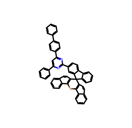 c1ccc(-c2ccc(-c3cc(-c4ccccc4)nc(-c4ccc5c(c4)C4(c6ccccc6-5)c5ccc6ccccc6c5Sc5c4ccc4ccccc54)n3)cc2)cc1